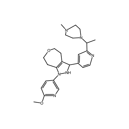 COc1ccc(N2NC(c3ccnc(C(C)N4CCN(C)CC4)c3)C3=C2CCOCC3)cn1